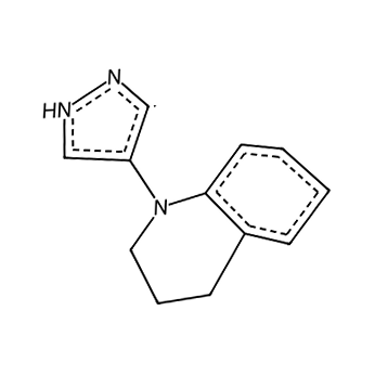 [c]1n[nH]cc1N1CCCc2ccccc21